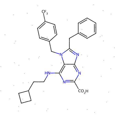 O=C(O)c1nc(NCCC2CCC2)c2c(n1)nc(Cc1ccccc1)n2Cc1ccc(C(F)(F)F)cc1